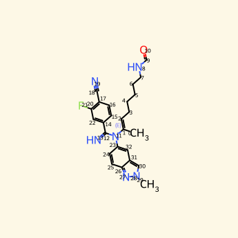 C/C(=C\CCCCCNC=O)N(C(=N)c1ccc(C#N)c(F)c1)c1ccc2nn(C)cc2c1